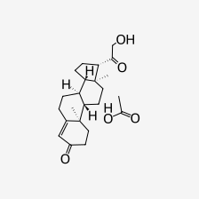 CC(=O)O.C[C@]12CC[C@H]3[C@@H](CCC4=CC(=O)CC[C@@]43C)[C@@H]1CC[C@@H]2C(=O)CO